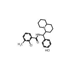 Cc1cccc(C(=O)NC(c2ccccc2)C2CCCC3CCCCN32)c1Cl.Cl